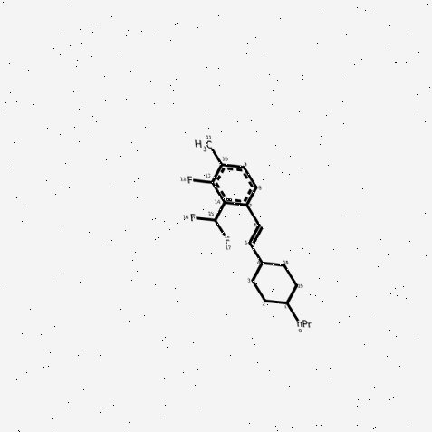 CCCC1CCC(/C=C/c2ccc(C)c(F)c2C(F)F)CC1